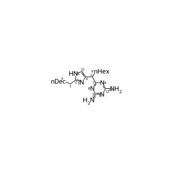 CCCCCCCCCCCc1nc(C(CCCCCC)c2nc(N)nc(N)n2)c[nH]1